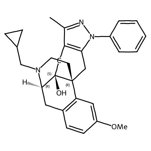 COc1ccc2c(c1)[C@]13CCN(CC4CC4)[C@H](C2)[C@]1(O)Cc1c(C)nn(-c2ccccc2)c1C3